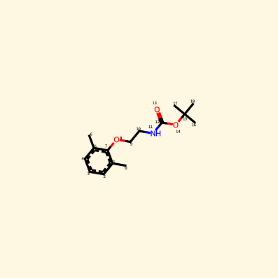 Cc1cccc(C)c1OCCNC(=O)OC(C)(C)C